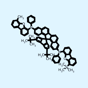 Cc1cccc2c1oc1c(N(c3ccccc3)c3ccc4c5c(ccc4c3)-c3ccc4cc(N(c6ccccc6)c6cccc7c6oc6c([Si](C)(C)C)cccc67)ccc4c3C53c4ccc(C(C)(C)C)cc4-c4cc(C(C)(C)C)ccc43)cccc12